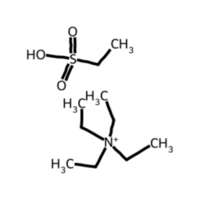 CCS(=O)(=O)O.CC[N+](CC)(CC)CC